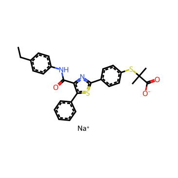 CCc1ccc(NC(=O)c2nc(-c3ccc(SC(C)(C)C(=O)[O-])cc3)sc2-c2ccccc2)cc1.[Na+]